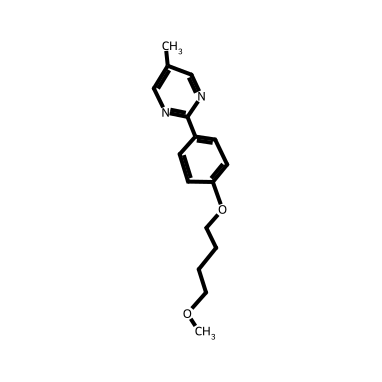 COCCCCOc1ccc(-c2ncc(C)cn2)cc1